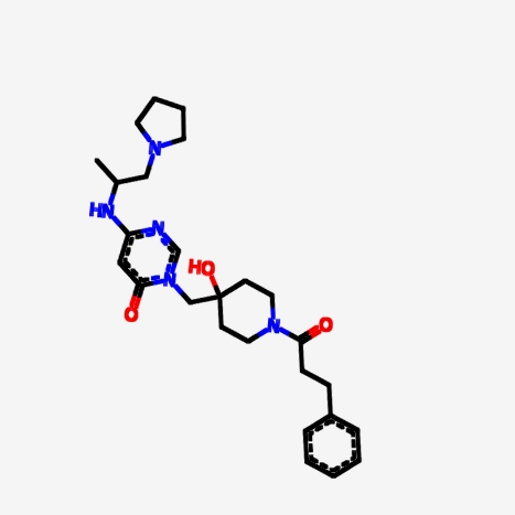 CC(CN1CCCC1)Nc1cc(=O)n(CC2(O)CCN(C(=O)CCc3ccccc3)CC2)cn1